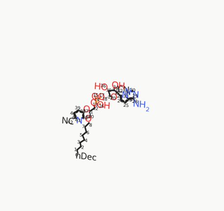 CCCCCCCCCCCCCCCCCCOC[C@H](COP(=O)(O)OC[C@H]1O[C@@](C#N)(c2ccc3c(N)ncnn23)[C@H](O)[C@@H]1O)Oc1ccc(C#N)nc1